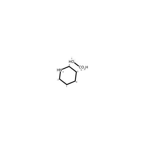 C1CCNCC1.O=C(O)O